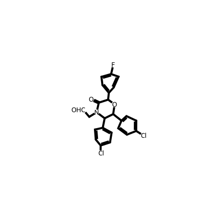 O=CCN1C(=O)C(c2ccc(F)cc2)OC(c2ccc(Cl)cc2)C1c1ccc(Cl)cc1